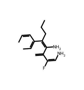 C=C(/C(F)=C\N)/C(N)=C(/CCC)C(=CC)/C=C\C